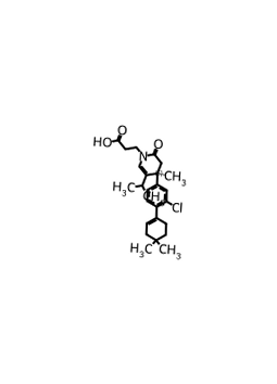 CC(C)C1=CN(CCC(=O)O)C(=O)C[C@@]1(C)c1ccc(C2=CCC(C)(C)CC2)c(Cl)c1